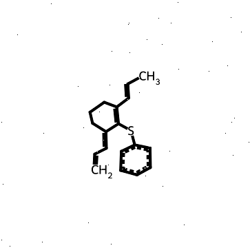 C=C/C=C1\CCCC(/C=C/C)=C1Sc1ccccc1